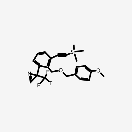 COc1ccc(COCc2c(C#C[Si](C)(C)C)cccc2C2(C(F)(F)F)C=N2)cc1